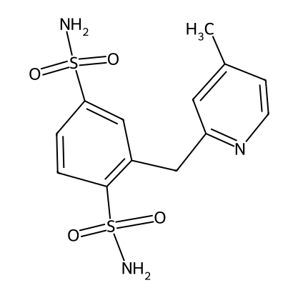 Cc1ccnc(Cc2cc(S(N)(=O)=O)ccc2S(N)(=O)=O)c1